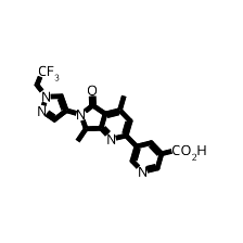 Cc1cc(-c2cncc(C(=O)O)c2)nc2c1C(=O)N(c1cnn(CC(F)(F)F)c1)C2C